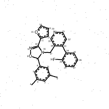 Cc1cc(C)cc(C2ON=C(c3ccco3)N2Cc2cnccc2-c2ccccc2F)c1